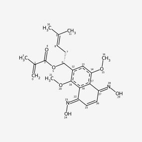 C=C(C)C(=O)O[C@H](CC=C(C)C)c1cc(OC)c2c(c1OC)C(=NO)C=CC2=NO